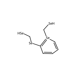 [SeH]C[Se]C1=[Se](C[SeH])C=CC=C1